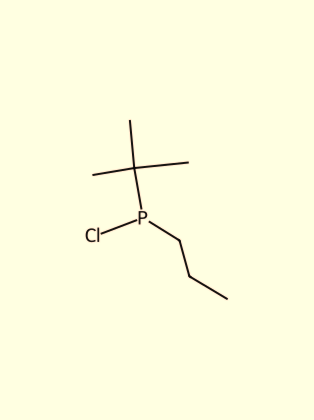 CCCP(Cl)C(C)(C)C